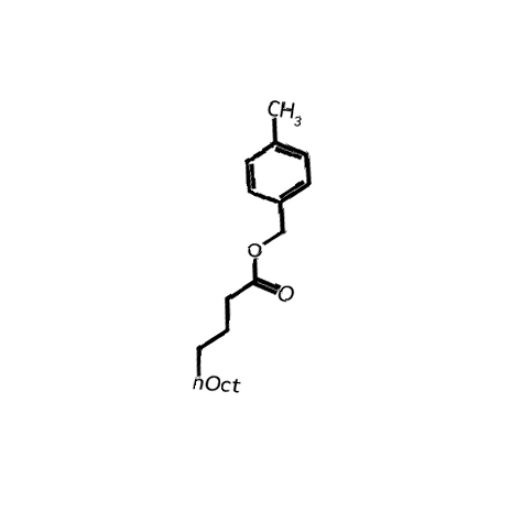 CCCCCCCCCCCC(=O)OCc1ccc(C)cc1